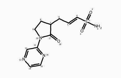 NS(=O)(=O)C=CCC1CCN(c2cnccn2)C1=O